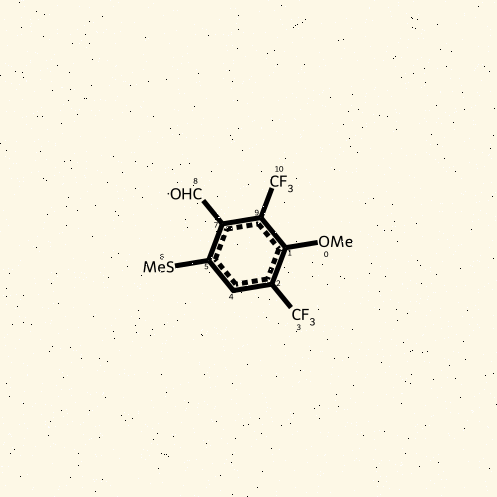 COc1c(C(F)(F)F)cc(SC)c([C]=O)c1C(F)(F)F